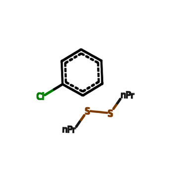 CCCSSCCC.Clc1ccccc1